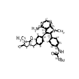 CN1C(=O)CN(Cc2ccc(-c3c(-c4ccc(NC(=O)C(C)(C)C)cc4)n(C)c4ncnc(N)c34)cc2)C1=O